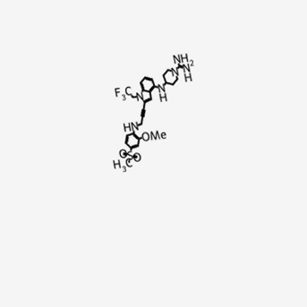 COc1cc(S(C)(=O)=O)ccc1NCC#Cc1cc2c(NC3CCN(C(=N)N)CC3)cccc2n1CC(F)(F)F